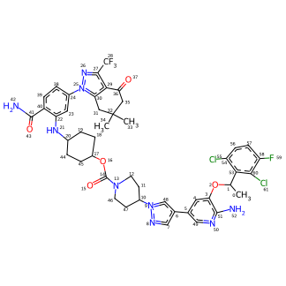 CC(Oc1cc(-c2cnn(C3CCN(C(=O)OC4CCC(Nc5cc(-n6nc(C(F)(F)F)c7c6CC(C)(C)CC7=O)ccc5C(N)=O)CC4)CC3)c2)cnc1N)c1c(Cl)ccc(F)c1Cl